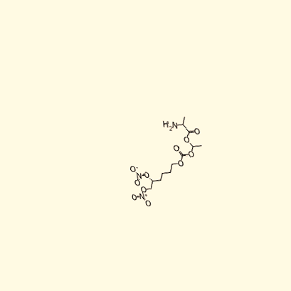 CC(OC(=O)OCCCCC(CO[N+](=O)[O-])O[N+](=O)[O-])OC(=O)C(C)N